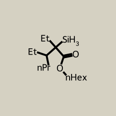 CCCCCCOC(=O)C([SiH3])(CC)C(CC)CCC